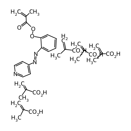 C=C(C)C(=O)O.C=C(C)C(=O)O.C=C(C)C(=O)O.C=C(C)C(=O)O.C=C(C)C(=O)O.C=C(C)C(=O)OOc1ccccc1N=Nc1ccncc1